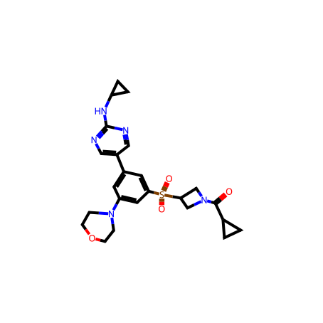 O=C(C1CC1)N1CC(S(=O)(=O)c2cc(-c3cnc(NC4CC4)nc3)cc(N3CCOCC3)c2)C1